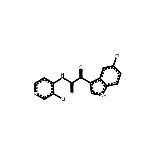 O=C(Nc1ccncc1Cl)C(=O)c1c[nH]c2ccc(Cl)cc12